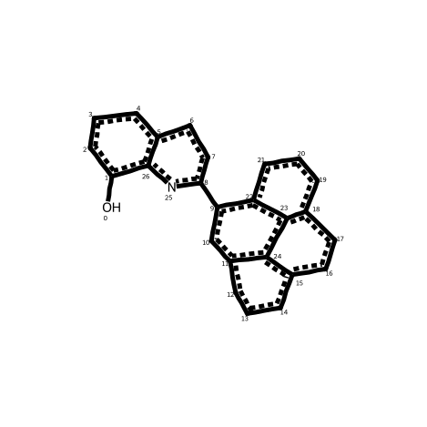 Oc1cccc2ccc(-c3cc4cccc5ccc6cccc3c6c54)nc12